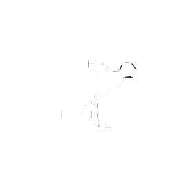 C=Cc1ccccc1CCCO[SiH](CCC)COC